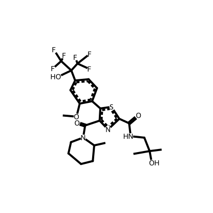 COc1cc(C(O)(C(F)(F)F)C(F)(F)F)ccc1-c1sc(C(=O)NCC(C)(C)O)nc1C(=O)N1CCCCC1C